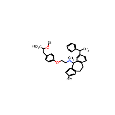 CCCc1ccc2c(c1)CCc1ccc(C(C)c3ccccc3)cc1C2N(C)CCOc1ccc(CC(OCC)C(=O)O)cc1